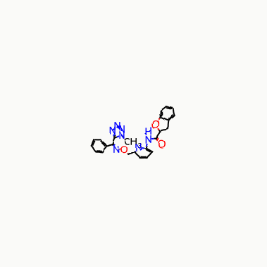 Cn1nnnc1C(=NOCc1cccc(NC(=O)C2Cc3ccccc3O2)n1)c1ccccc1